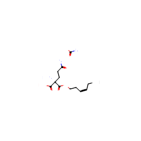 CC/C=C\CCOC(=O)[C@](N)(CCC(N)=O)C(=O)O.NC(=O)O